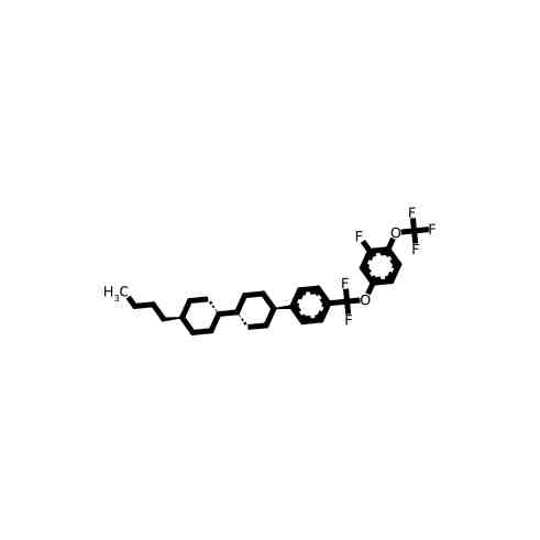 CCCC[C@H]1CC[C@H]([C@H]2CC[C@H](c3ccc(C(F)(F)Oc4ccc(OC(F)(F)F)c(F)c4)cc3)CC2)CC1